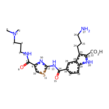 CN(C)CCCNC(=O)c1csc(NC(=O)c2ccc3[nH]c(C(=O)O)c(CCCN)c3c2)n1